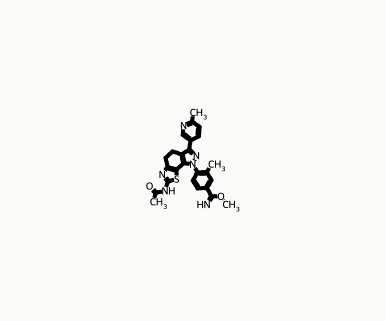 COC(=N)c1ccc(-n2nc(-c3ccc(C)nc3)c3c2-c2sc(NC(C)=O)nc2CC3)c(C)c1